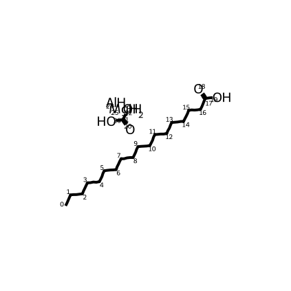 CCCCCCCCCCCCCCCCCC(=O)O.O=C(O)O.[AlH3].[MgH2]